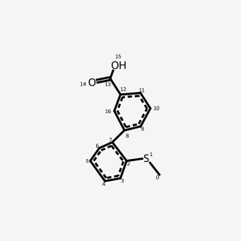 CSc1ccccc1-c1cccc(C(=O)O)c1